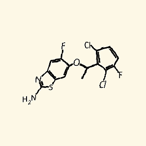 CC(Oc1cc2sc(N)nc2cc1F)c1c(Cl)ccc(F)c1Cl